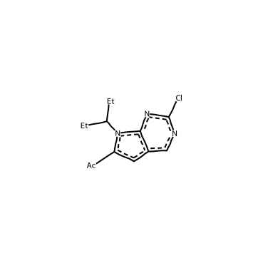 CCC(CC)n1c(C(C)=O)cc2cnc(Cl)nc21